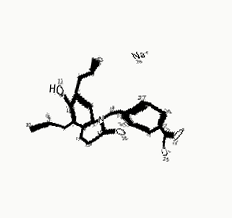 C=CCc1cc2c(c(CC=C)c1O)CCC(=O)N2Cc1ccc(C(=O)[O-])cc1.[Na+]